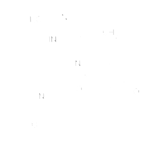 C=CC1=C(/N=C\C)Nc2ccc(N3CCOCC3)cc2N(C(=O)C2CCC(=O)C2)C1